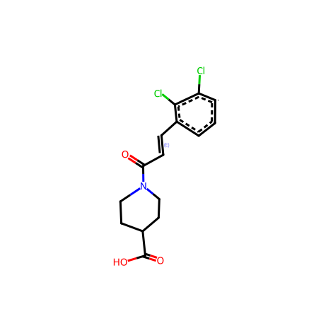 O=C(O)C1CCN(C(=O)/C=C/c2cc[c]c(Cl)c2Cl)CC1